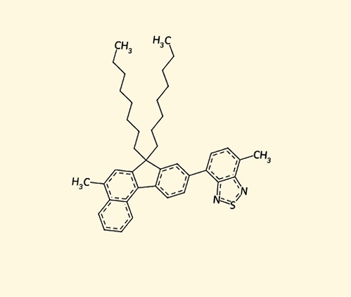 CCCCCCCCC1(CCCCCCCC)c2cc(-c3ccc(C)c4nsnc34)ccc2-c2c1cc(C)c1ccccc21